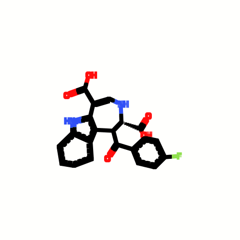 O=C(O)C1=CN[C@H](C(=O)O)C(C(=O)c2ccc(F)cc2)c2c1[nH]c1ccccc21